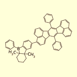 CC12CCCCC1(C)c1cc(-c3ccc4c5c(-c6ccccc6)c6c7cccc8cccc(c6c(-c6ccccc6)c5c5cccc3c54)c87)ccc1B2c1ccccc1